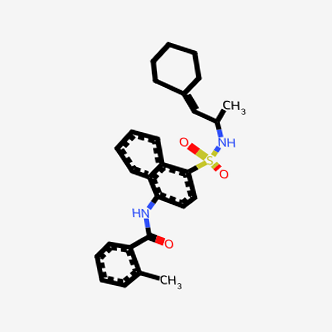 Cc1ccccc1C(=O)Nc1ccc(S(=O)(=O)NC(C)C=C2CCCCC2)c2ccccc12